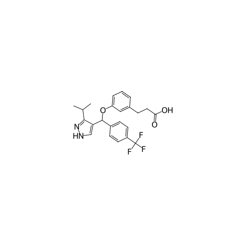 CC(C)c1n[nH]cc1C(Oc1cccc(CCC(=O)O)c1)c1ccc(C(F)(F)F)cc1